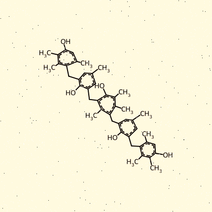 Cc1cc(Cc2c(C)cc(O)c(C)c2C)c(O)c(Cc2c(C)c(C)c(O)c(Cc3cc(C)cc(Cc4c(C)cc(O)c(C)c4C)c3O)c2C)c1